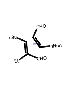 CCCCC=C(C=O)CC.CCCCCCCCC/C=C\C=O